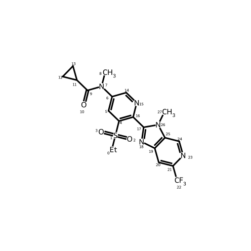 CCS(=O)(=O)c1cc(N(C)C(=O)C2CC2)cnc1-c1nc2cc(C(F)(F)F)ncc2n1C